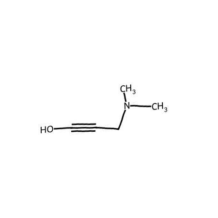 CN(C)CC#CO